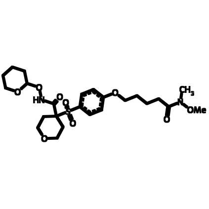 CON(C)C(=O)CCCCOc1ccc(S(=O)(=O)C2(C(=O)NOC3CCCCO3)CCOCC2)cc1